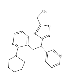 CC(C)(C)Cc1nc(C(Cc2cccnc2N2CCCCC2)c2cccnc2)no1